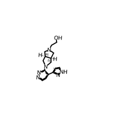 OCCN1C[C@@H]2CN(c3nnccc3-c3[c]c[nH]n3)C[C@@H]2C1